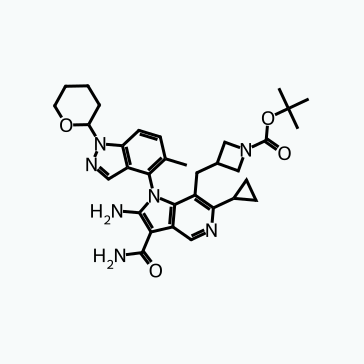 Cc1ccc2c(cnn2C2CCCCO2)c1-n1c(N)c(C(N)=O)c2cnc(C3CC3)c(CC3CN(C(=O)OC(C)(C)C)C3)c21